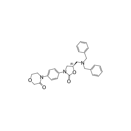 O=C1COCCN1c1ccc(N2C[C@@H](CN(Cc3ccccc3)Cc3ccccc3)OC2=O)cc1